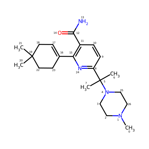 CN1CCN(C(C)(C)c2ccc(C(N)=O)c(C3=CCC(C)(C)CC3)n2)CC1